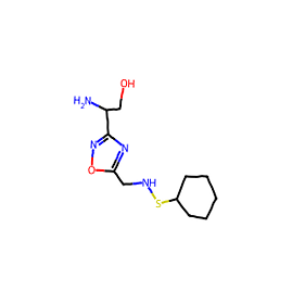 NC(CO)c1noc(CNSC2CCCCC2)n1